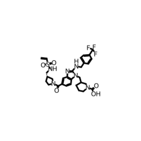 C=CS(=O)(=O)NC[C@H]1CCN(C(=O)c2ccc3c(c2)nc(NCc2ccc(C(F)(F)F)cc2)n3CC2CCCN(C(=O)O)C2)C1